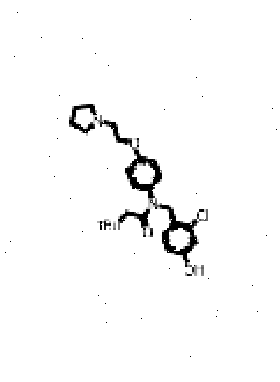 CC(C)(C)CC(=O)N(Cc1ccc(O)cc1Cl)c1ccc(OCCN2CCCC2)cc1